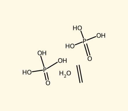 C=C.O.O=P(O)(O)O.O=P(O)(O)O